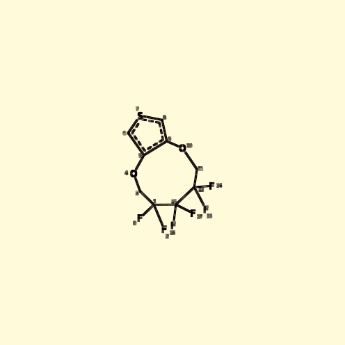 FC1(F)COc2cscc2OCC(F)(F)C1(F)F